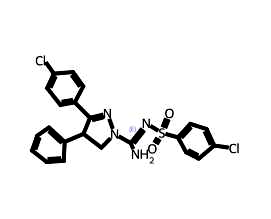 N/C(=N\S(=O)(=O)c1ccc(Cl)cc1)N1CC(c2ccccc2)C(c2ccc(Cl)cc2)=N1